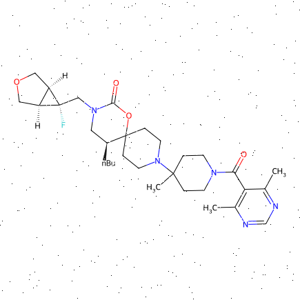 CCCC[C@H]1CN(C[C@]2(F)[C@@H]3COC[C@@H]32)C(=O)OC12CCN(C1(C)CCN(C(=O)c3c(C)ncnc3C)CC1)CC2